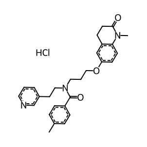 Cc1ccc(C(=O)N(CCCOc2ccc3c(c2)CCC(=O)N3C)CCc2cccnc2)cc1.Cl